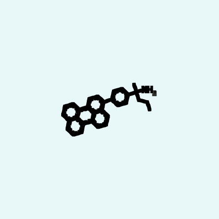 CCCC(C)(N)c1ccc(-c2ccc3c4cccc5cccc(c6cccc2c63)c54)cc1